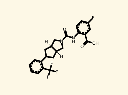 O=C(O)c1cc(F)ccc1NC(=O)N1C[C@H]2CC(c3ccccc3C(F)(F)F)C[C@H]2C1